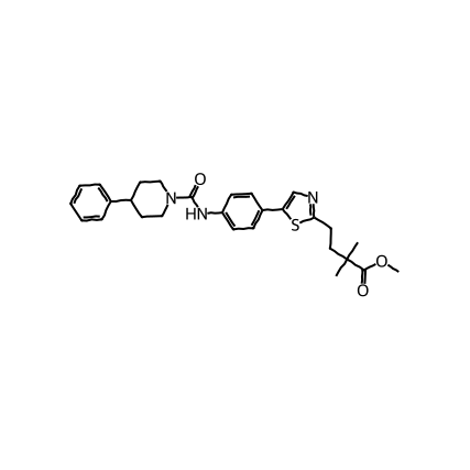 COC(=O)C(C)(C)CCc1ncc(-c2ccc(NC(=O)N3CCC(c4ccccc4)CC3)cc2)s1